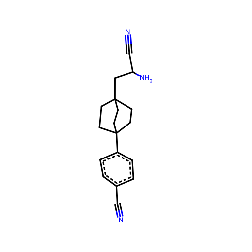 N#Cc1ccc(C23CCC(CC(N)C#N)(CC2)CC3)cc1